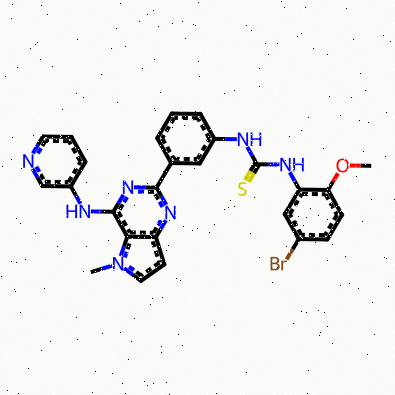 COc1ccc(Br)cc1NC(=S)Nc1cccc(-c2nc(Nc3cccnc3)c3c(ccn3C)n2)c1